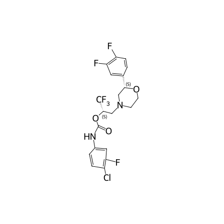 O=C(Nc1ccc(Cl)c(F)c1)O[C@@H](CN1CCO[C@@H](c2ccc(F)c(F)c2)C1)C(F)(F)F